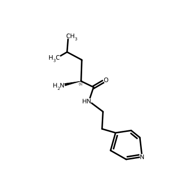 CC(C)C[C@H](N)C(=O)NCCc1ccncc1